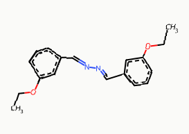 CCOc1cccc(C=NN=Cc2cccc(OCC)c2)c1